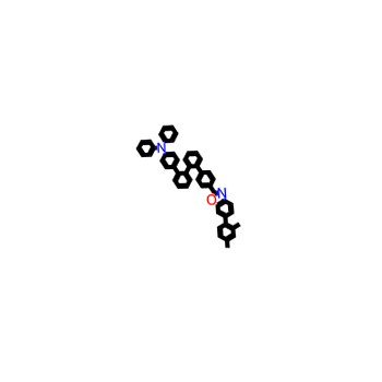 Cc1ccc(-c2ccc3nc(-c4ccc(-c5ccccc5-c5ccccc5-c5ccc(N(c6ccccc6)c6ccccc6)cc5)cc4)oc3c2)c(C)c1